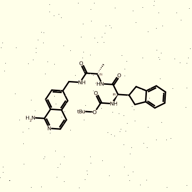 C[C@H](NC(=O)[C@H](NC(=O)OC(C)(C)C)C1Cc2ccccc2C1)C(=O)NCc1ccc2c(N)nccc2c1